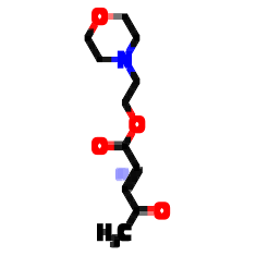 CC(=O)/C=C/C(=O)OCCN1CCOCC1